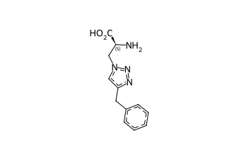 N[C@@H](Cn1cc(Cc2ccccc2)nn1)C(=O)O